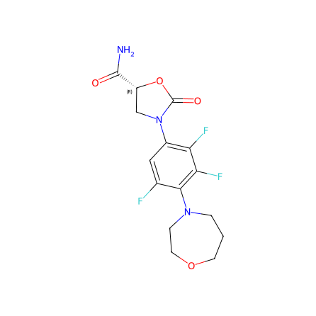 NC(=O)[C@H]1CN(c2cc(F)c(N3CCCOCC3)c(F)c2F)C(=O)O1